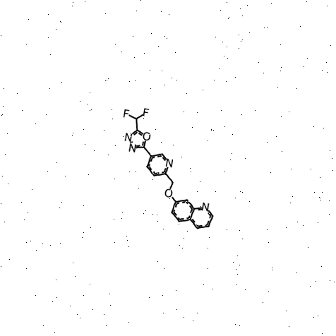 FC(F)c1nnc(-c2ccc(COc3ccc4cccnc4c3)nc2)o1